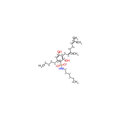 CCCCCCNS(=O)(=O)c1c(CCCCC)cc(O)c(CC=C(C)CCC=C(C)C)c1O